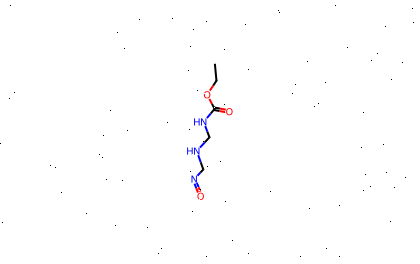 CCOC(=O)NCNCN=O